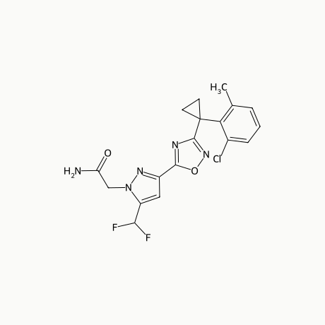 Cc1cccc(Cl)c1C1(c2noc(-c3cc(C(F)F)n(CC(N)=O)n3)n2)CC1